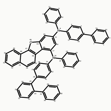 c1ccc(-c2ccc(N(c3ccccc3)c3cc(N(c4ccccc4)c4ccc(-c5ccccc5-c5ccccc5)cc4)c4c(c3)oc3c5ccccc5ccc34)cc2)cc1